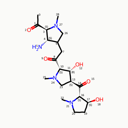 CC(=O)[C@@H]1[C@@H](N)C(CC(=O)[C@@H]2[C@H](O)[C@@H](C(=O)[C@@H]3[C@@H](O)CCN3C)CN2C)CN1C